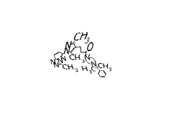 Cc1nn(-c2ccc3nnc(C)n3n2)c(C)c1CCC(=O)N1CCN(C(C)(C)c2ccccc2)CC1